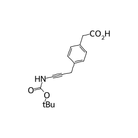 CC(C)(C)OC(=O)NC#CCc1ccc(CC(=O)O)cc1